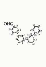 O=Cc1ccc(-c2cccc(-c3cccc(-c4ccccc4)c3)c2)cc1